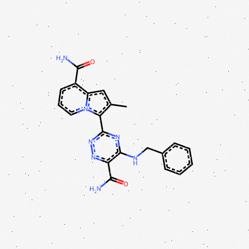 Cc1cc2c(C(N)=O)cccn2c1-c1nnc(C(N)=O)c(NCc2ccccc2)n1